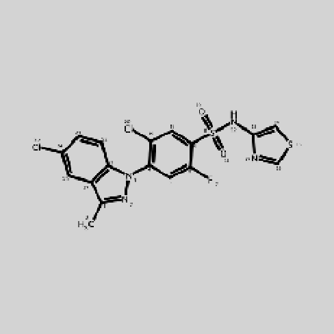 Cc1nn(-c2cc(F)c(S(=O)(=O)Nc3cscn3)cc2Cl)c2ccc(Cl)cc12